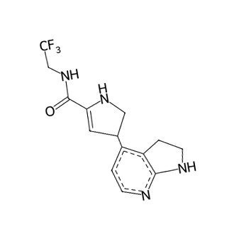 O=C(NCC(F)(F)F)C1=CC(c2ccnc3c2CCN3)CN1